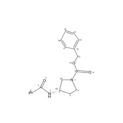 CC(C)C(=O)N[C@H]1CCN(C(=O)OCc2ccccc2)C1